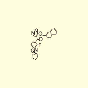 Cn1ncc(C(=O)c2cccc(N=S3(=O)CCCCC3)c2F)c1OCc1ccc2ccccc2c1